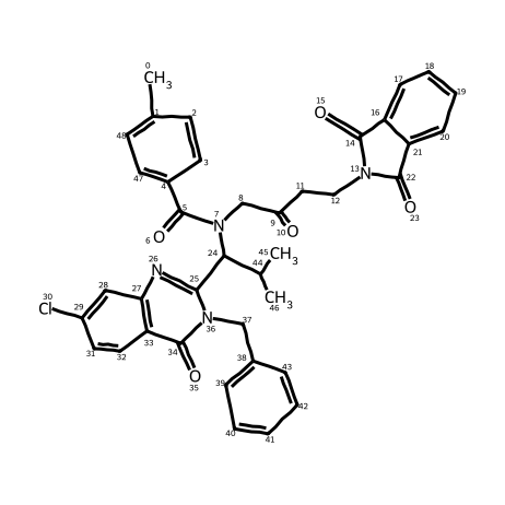 Cc1ccc(C(=O)N(CC(=O)CCN2C(=O)c3ccccc3C2=O)C(c2nc3cc(Cl)ccc3c(=O)n2Cc2ccccc2)C(C)C)cc1